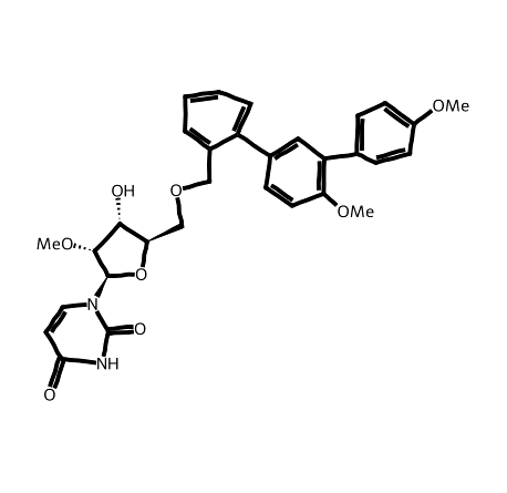 COc1ccc(-c2cc(-c3ccccc3COC[C@H]3O[C@@H](n4ccc(=O)[nH]c4=O)[C@H](OC)[C@@H]3O)ccc2OC)cc1